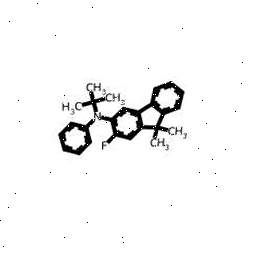 CC1(C)c2ccccc2-c2cc(N(c3ccccc3)C(C)(C)C)c(F)cc21